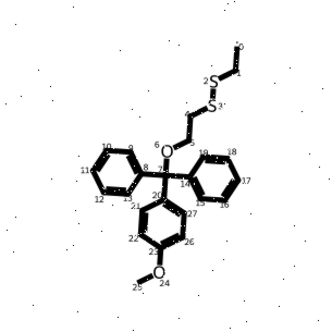 [CH2]CSSCCOC(c1ccccc1)(c1ccccc1)c1ccc(OC)cc1